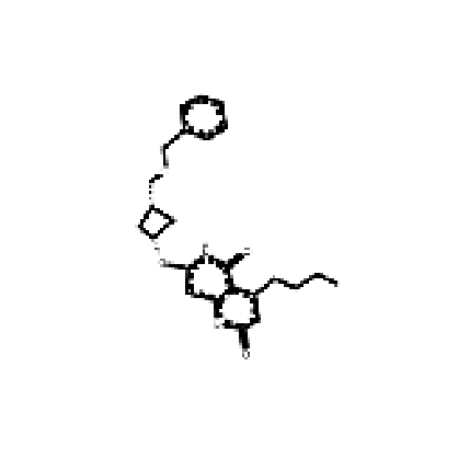 CCCCc1cc(=O)oc2cc(O[C@H]3C[C@@H](COCc4ccccc4)C3)[nH]c(=O)c12